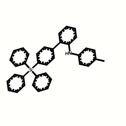 Cc1ccc(Nc2ccccc2-c2ccc([Si](c3ccccc3)(c3ccccc3)c3ccccc3)cc2)cc1